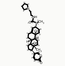 CN(C(=O)NCCN1CCCC1)[C@@H]1C=C2CC[C@@H]3[C@H](CC[C@]4(C)[C@@H](c5ccc(=O)oc5)CC[C@]34O)[C@@]2(C)CC1